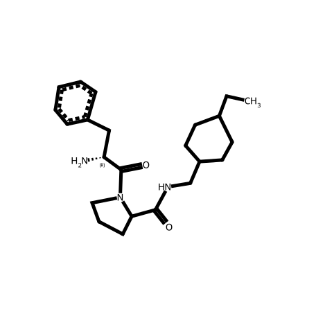 CCC1CCC(CNC(=O)C2CCCN2C(=O)[C@H](N)Cc2ccccc2)CC1